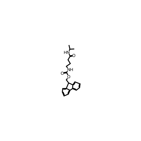 CC(C)NC(=O)CCCNC(=O)OCC1c2ccccc2-c2ccccc21